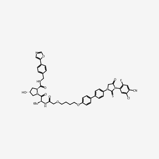 CC(C)(C)[C@H](NC(=O)COCCCCOc1ccc(-c2ccc(N3CC(=O)N(c4cc(Cl)c(C#N)cc4F)C3=S)cc2)cc1)C(=O)N1C[C@H](O)C[C@H]1C(=O)NCc1ccc(-c2cnco2)cc1